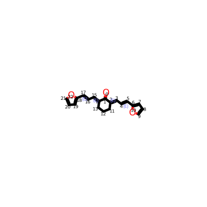 O=C1/C(=C/C=C/c2ccco2)CCC/C1=C\C=C\c1ccco1